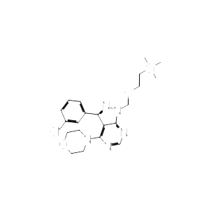 C[Si](C)(C)CCOCn1nc(-c2cccc(Cl)c2)c2c(N3CCOCC3)ncnc21